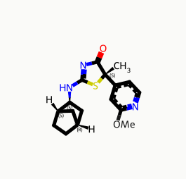 COc1cc([C@]2(C)SC(N[C@H]3C[C@@H]4CC[C@H]3C4)=NC2=O)ccn1